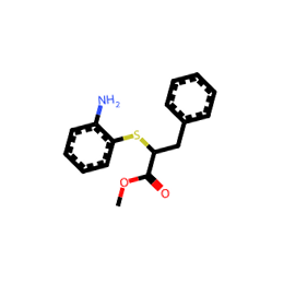 COC(=O)C(Cc1ccccc1)Sc1ccccc1N